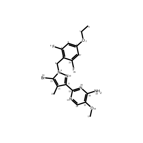 CCOc1cc(F)c(Cn2nc(-c3ncc(OC)c(N)n3)c(C)c2Br)c(F)c1